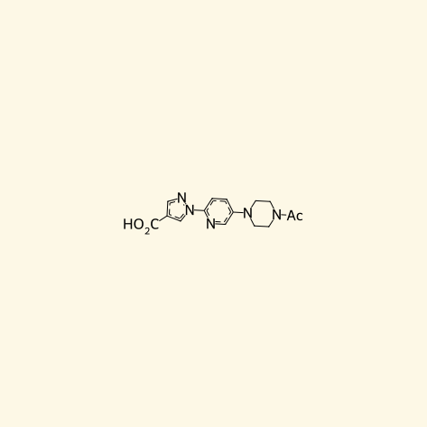 CC(=O)N1CCN(c2ccc(-n3cc(C(=O)O)cn3)nc2)CC1